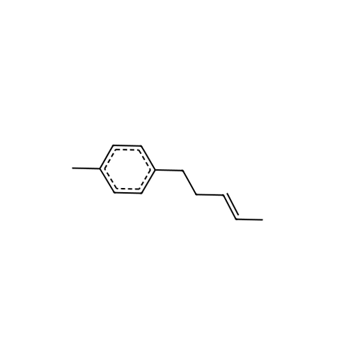 CC=CCCc1ccc(C)cc1